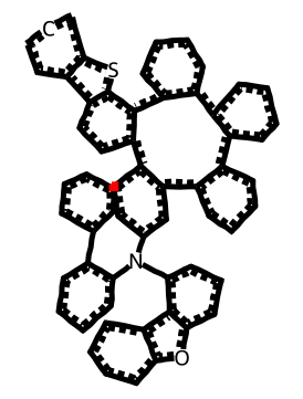 c1ccc(-c2ccccc2N(c2ccc3c(c2)c2ccccc2c2ccccc2c2ccccc2c2c3ccc3c4ccccc4sc32)c2cccc3oc4ccccc4c23)cc1